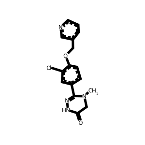 CN1CC(=O)NN=C1c1ccc(OCc2cccnc2)c(Cl)c1